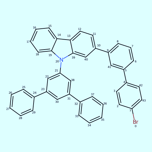 Brc1ccc(-c2cccc(-c3ccc4c5ccccc5n(-c5cc(-c6ccccc6)cc(-c6ccccc6)c5)c4c3)c2)cc1